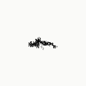 COCCOc1ccc(N2CCN(CCn3c(=O)n(C)c4c3nc(N)n3nc(-c5nccs5)nc43)CC2)cc1